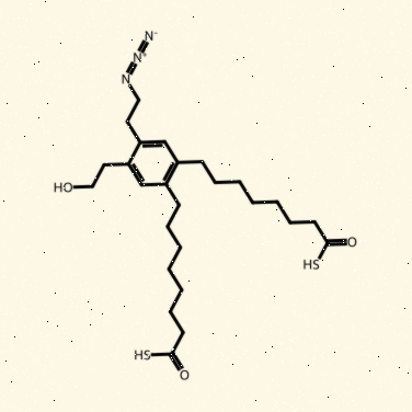 [N-]=[N+]=NCCc1cc(CCCCCCCC(=O)S)c(CCCCCCCC(=O)S)cc1CCO